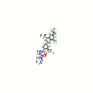 C[C@@H](NC(=O)c1ccc(/C(F)=C/C(c2cc(Cl)cc(C(C)(F)F)c2)C(F)(F)F)cc1C(F)(F)F)C(=O)NCC(F)(F)F